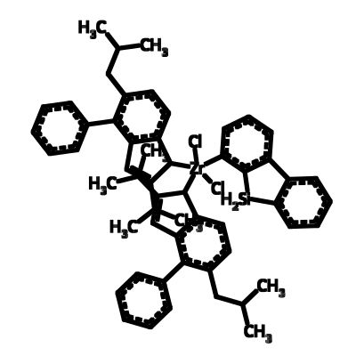 CC(C)Cc1ccc2c(c1-c1ccccc1)C=C(C(C)C)[CH]2[Zr]([Cl])([Cl])([c]1cccc2c1[SiH2]c1ccccc1-2)[CH]1C(C(C)C)=Cc2c1ccc(CC(C)C)c2-c1ccccc1